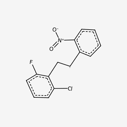 O=[N+]([O-])c1ccccc1[CH]Cc1c(F)cccc1Cl